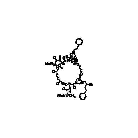 CCC(CCc1ccccc1)C[C@H]1CN2C[C@H]1OCCO[C@@H]1CN(C(=O)[C@@H](NC(=O)[C@H](C)NC)COC(=O)CCC(=O)OC[C@H](NC(=O)[C@H](C)NC)C2=O)[C@@H]2CN(CCc3ccccc3)C[C@@H]21